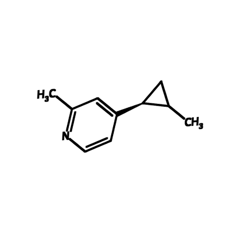 Cc1cc([C@H]2CC2C)ccn1